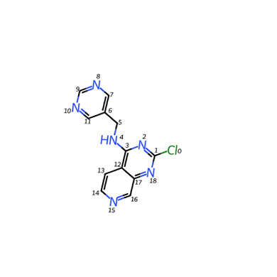 Clc1nc(NCc2cncnc2)c2ccncc2n1